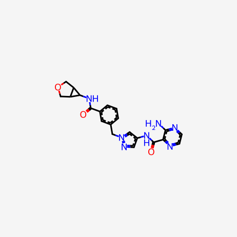 Nc1nccnc1C(=O)Nc1cnn(Cc2cccc(C(=O)NC3C4COCC43)c2)c1